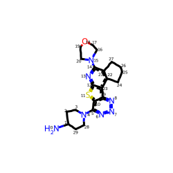 NC1CCN(c2nnnc3c2sc2nc(N4CCOCC4)c4c(c23)CCCC4)CC1